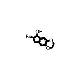 OC1c2cc3c(cc2CC1Br)OCCO3